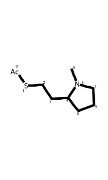 CC(=O)SCCC1CCCN1C